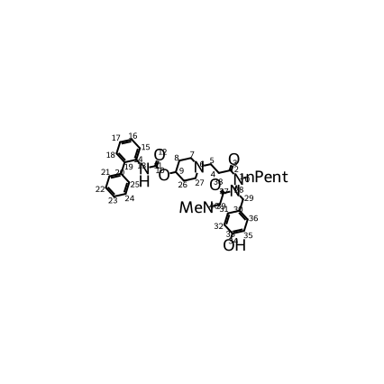 CCCCCN(C(=O)CCN1CCC(OC(=O)Nc2ccccc2-c2ccccc2)CC1)N(Cc1ccc(O)cc1)C(=O)CNC